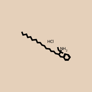 CCCCCCCCCCCCCCCCC(Cc1ccccc1)C(C)(N)CC.Cl